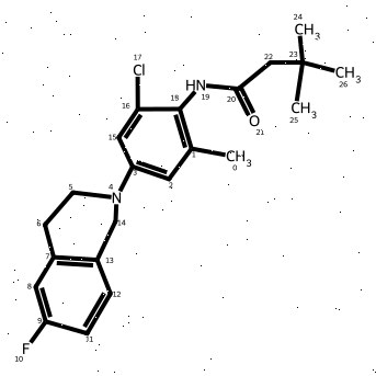 Cc1cc(N2CCc3cc(F)ccc3C2)cc(Cl)c1NC(=O)CC(C)(C)C